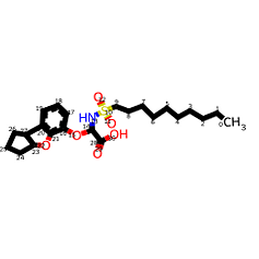 CCCCCCCCCCS(=O)(=O)NC(Oc1cccc2c1OC1CCCC21)C(=O)O